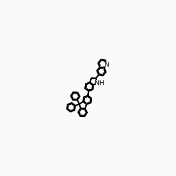 c1ccc(C2(c3ccccc3)c3ccccc3-c3ccc(-c4ccc5c(c4)NC(c4ccc6ncccc6c4)C5)cc32)cc1